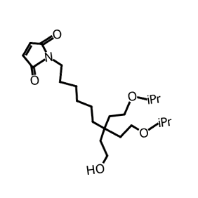 CC(C)OCCC(CCO)(CCCCCCN1C(=O)C=CC1=O)CCOC(C)C